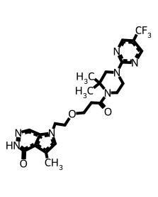 Cc1cn(CCOCCC(=O)N2CCN(c3ncc(C(F)(F)F)cn3)CC2(C)C)c2cn[nH]c(=O)c12